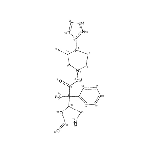 CC(C(=O)NN1CCN(c2nc[nH]n2)C(F)C1)(c1ccccc1)C1CNC(=O)O1